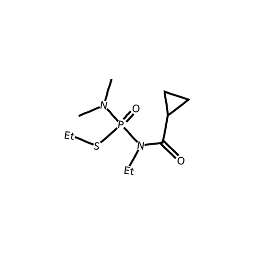 CCSP(=O)(N(C)C)N(CC)C(=O)C1CC1